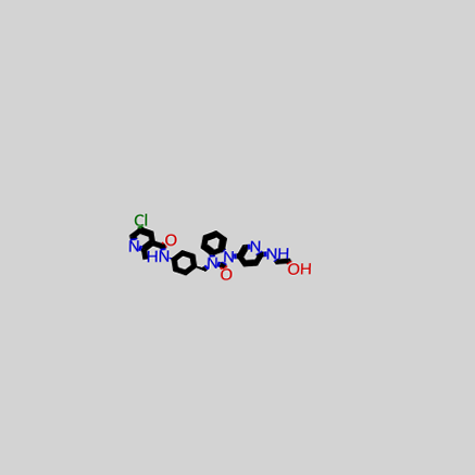 Cc1ncc(Cl)cc1C(=O)N[C@H]1CC[C@H](Cn2c(=O)n(-c3ccc(NCCO)nc3)c3ccccc32)CC1